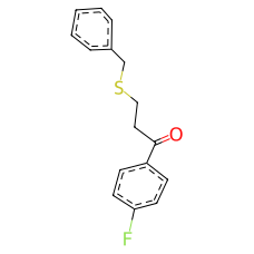 O=C(CCSCc1ccccc1)c1ccc(F)cc1